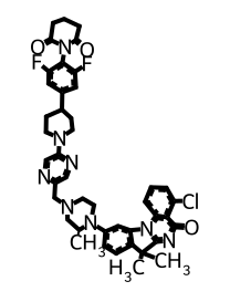 C[C@@H]1CN(Cc2cnc(N3CCC(c4cc(F)c(N5C(=O)CCCC5=O)c(F)c4)CC3)cn2)CCN1c1ccc2c(c1)-n1c(nc(=O)c3c(Cl)cccc31)C2(C)C